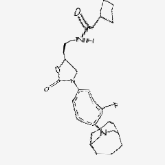 O=C(NC[C@H]1CN(c2ccc(N3C4CCCC3CC4)c(F)c2)C(=O)O1)C1CCC1